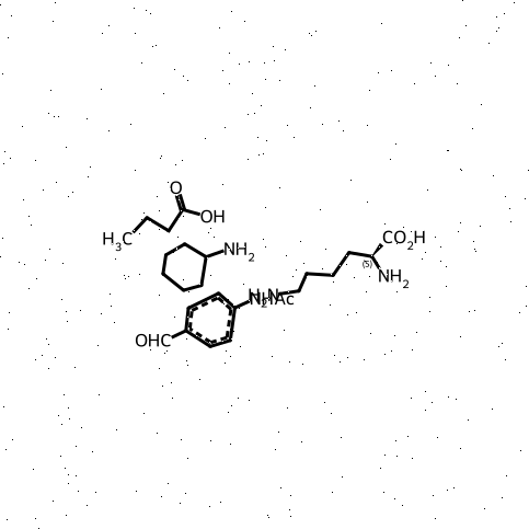 CC(=O)Nc1ccc(C=O)cc1.CCCC(=O)O.NC1CCCCC1.NCCCC[C@H](N)C(=O)O